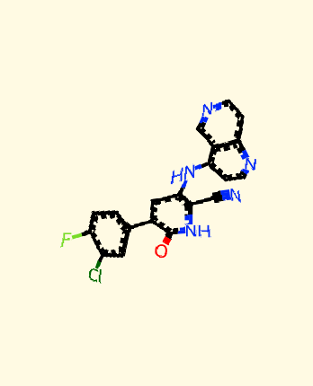 N#Cc1[nH]c(=O)c(-c2ccc(F)c(Cl)c2)cc1Nc1ccnc2ccncc12